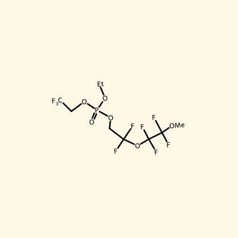 CCOP(=O)(OCC(F)(F)F)OCC(F)(F)OC(F)(F)C(F)(F)OC